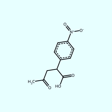 CC(=O)CC(C(=O)O)c1ccc([N+](=O)[O-])cc1